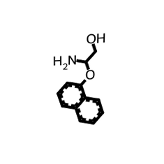 NC(CO)Oc1cccc2ccccc12